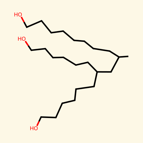 CC(CCCCCCCCO)CC(CCCCCCO)CCCCCCO